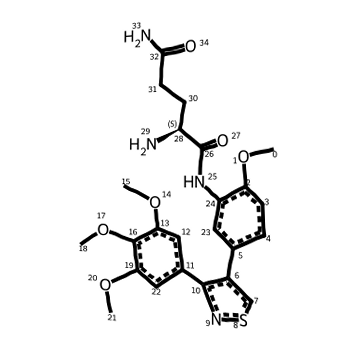 COc1ccc(-c2csnc2-c2cc(OC)c(OC)c(OC)c2)cc1NC(=O)[C@@H](N)CCC(N)=O